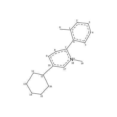 Cc1ccccc1-c1ccc(C2CCCCC2)c[n+]1C